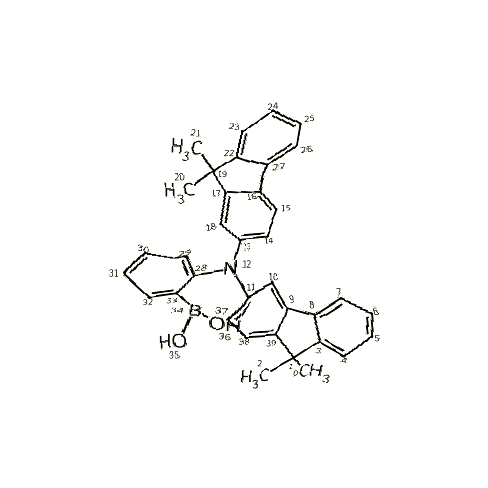 CC1(C)c2ccccc2-c2cc(N(c3ccc4c(c3)C(C)(C)c3ccccc3-4)c3ccccc3B(O)O)ccc21